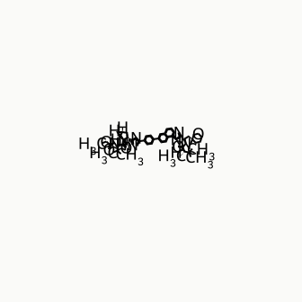 COC(=O)N[C@H](C(=O)N1[C@@H]2C[C@@H]2C[C@H]1c1nc(-c2ccc(-c3ccc4c(ccc5nc([C@@H]6C[C@@]7(CCCOC7)CN6C(=O)[C@@H](C)C(C)C)[nH]c54)c3)cc2)c[nH]1)C(C)C